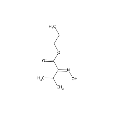 CCCOC(=O)C(=NO)C(C)C